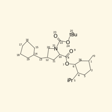 CC1CCC(C(C)C)C(OC(=O)C2CC(CC3CCCCC3)CN2C(=O)OC(C)(C)C)C1